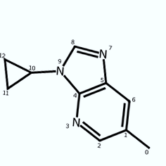 Cc1cnc2c(c1)ncn2C1CC1